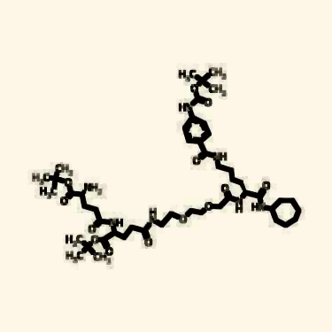 CC(C)(C)OC(=O)Nc1ccc(C(=O)NCCCC[C@H](NC(=O)COCCOCCNC(=O)CCC(NC(=O)CC[C@H](N)C(=O)OC(C)(C)C)C(=O)OC(C)(C)C)C(=O)NC2CCCCCC2)cc1